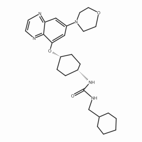 O=C(NCC1CCCCC1)N[C@H]1CC[C@@H](Oc2cc(N3CCOCC3)cc3nccnc23)CC1